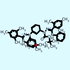 Cc1cc(C)c(/C(=N/N(C(=O)OC(C)(C)C)C2=CC(N(/N=C(\Nc3ccccc3)c3c(C)cc(C)cc3C)C(=O)OC(C)(C)C)CC=C2)Nc2ccccc2)c(C)c1